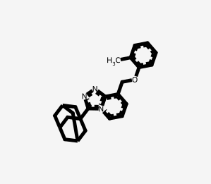 Cc1ccccc1OCc1cccn2c(C34CC5CC(CC(C5)C3)C4)nnc12